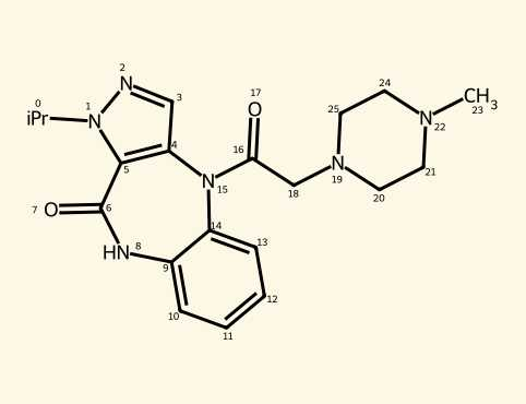 CC(C)n1ncc2c1C(=O)Nc1ccccc1N2C(=O)CN1CCN(C)CC1